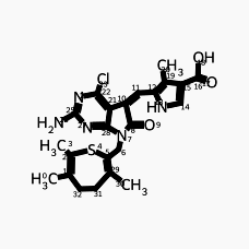 CC1=C(C)SC(CN2C(=O)/C(=C\c3[nH]cc(C(=O)O)c3C)c3c(Cl)nc(N)nc32)=C(C)CC1